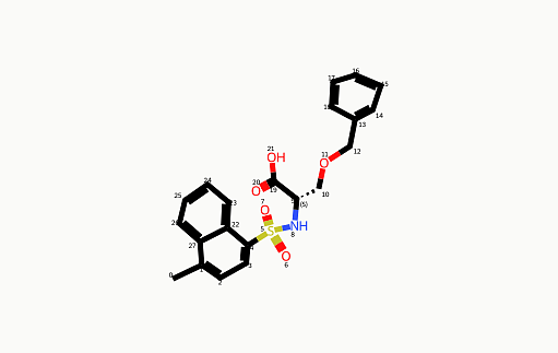 Cc1ccc(S(=O)(=O)N[C@@H](COCc2ccccc2)C(=O)O)c2ccccc12